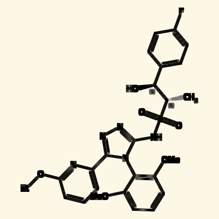 CCOc1cccc(-c2nnc(NS(=O)(=O)[C@@H](C)[C@@H](O)c3ccc(F)cc3)n2-c2c(OC)cccc2OC)n1